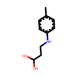 Cc1ccc(NCCC(O)O)cc1